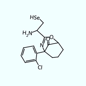 NC(C[SeH])C1=NC2(c3ccccc3Cl)CCCC(O1)C2=O